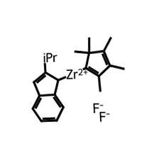 CC1=C(C)C(C)(C)[C]([Zr+2][CH]2C(C(C)C)=Cc3ccccc32)=C1C.[F-].[F-]